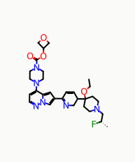 CCOC1(C2C=CC(c3cc4c(N5CCN(C(=O)OC6COC6)CC5)ccnn4c3)=NC2)CCN(C[C@H](C)F)CC1